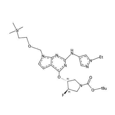 CCn1cc(Nc2nc(O[C@@H]3CN(C(=O)OC(C)(C)C)C[C@H]3F)c3ccn(COCC[Si](C)(C)C)c3n2)cn1